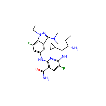 CC[C@H](N)[C@H](Nc1nc(Nc2cc(F)c3c(c2)c(N(C)C)nn3CC)c(C(N)=O)cc1F)C1CC1